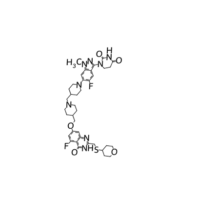 Cn1nc(N2CCC(=O)NC2=O)c2cc(F)c(N3CCC(CN4CCC(COc5cc(F)c6c(=O)[nH]c(CSC7CCOCC7)nc6c5)CC4)CC3)cc21